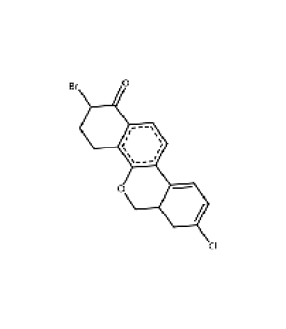 O=C1c2ccc3c(c2CCC1Br)OCC1CC(Cl)=CC=C31